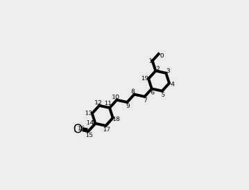 CCC1CCCC(CCCCC2CCC(C=O)CC2)C1